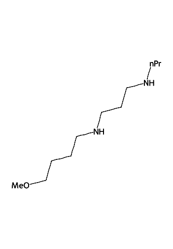 CCCNCCCNCCCCOC